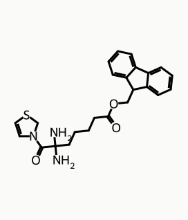 NC(N)(CCCCC(=O)OCC1c2ccccc2-c2ccccc21)C(=O)N1C=CSC1